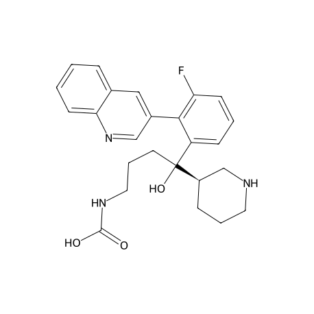 O=C(O)NCCCC(O)(c1cccc(F)c1-c1cnc2ccccc2c1)[C@@H]1CCCNC1